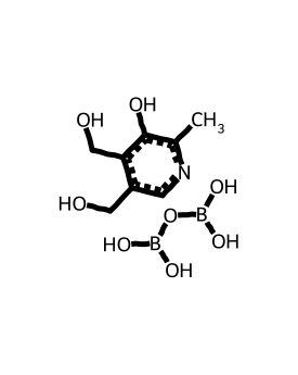 Cc1ncc(CO)c(CO)c1O.OB(O)OB(O)O